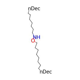 CCCCCCCCCCCCCCCCCCONCCCCCCCCCCCCCCCCC